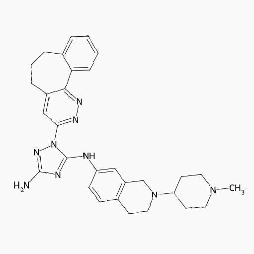 CN1CCC(N2CCc3ccc(Nc4nc(N)nn4-c4cc5c(nn4)-c4ccccc4CCC5)cc3C2)CC1